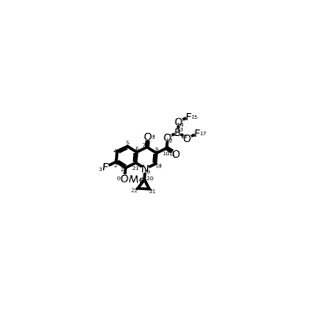 COc1c(F)ccc2c(=O)c(C(=O)OB(OF)OF)cn(C3CC3)c12